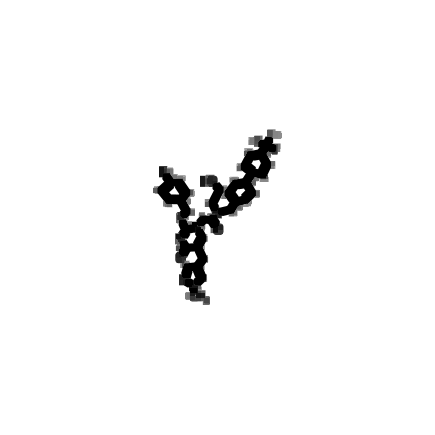 Cn1cc(Cc2cn(CC(=O)N(CCO)Cc3ccc(-c4ccc(C(F)(F)F)cc4)cc3)c(SCc3ccc(F)cc3)nc2=O)cn1